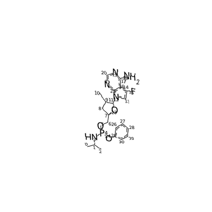 CC(C)NP(OCC1CC(C)C(n2cc(F)c3c(N)ncnc32)O1)Oc1ccccc1